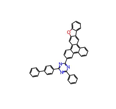 c1ccc(-c2ccc(-c3nc(-c4ccccc4)nc(-c4ccc5c(c4)c4ccccc4c4cc6c(cc54)oc4ccccc46)n3)cc2)cc1